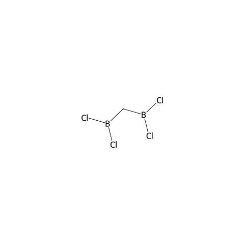 ClB(Cl)CB(Cl)Cl